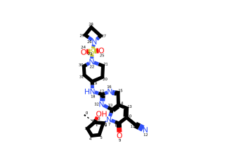 C[C@@]1(O)CCC[C@H]1n1c(=O)c(C#N)cc2cnc(NC3CCN(S(=O)(=O)N4CCC4)CC3)nc21